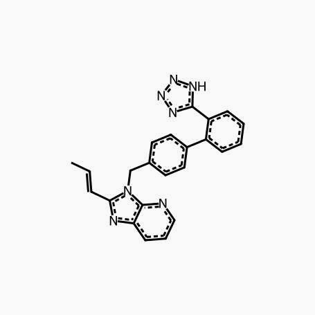 C/C=C/c1nc2cccnc2n1Cc1ccc(-c2ccccc2-c2nnn[nH]2)cc1